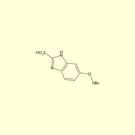 CCCCOc1ccc2nc(S(=O)(=O)O)[nH]c2c1